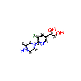 CC1CN(c2ncc([C@H](O)CO)cc2F)CCN1